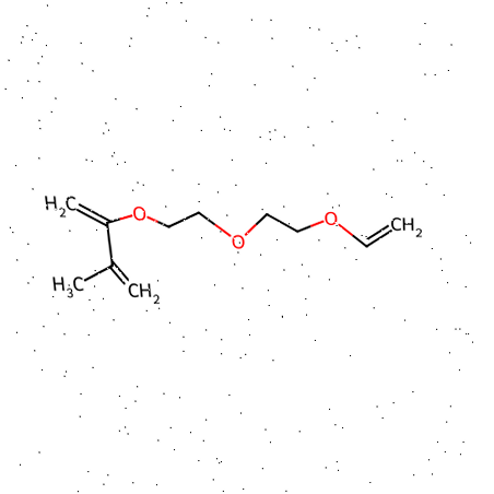 C=COCCOCCOC(=C)C(=C)C